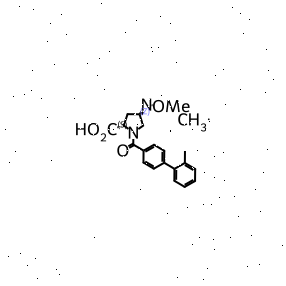 CO/N=C1/C[C@@H](C(=O)O)N(C(=O)c2ccc(-c3ccccc3C)cc2)C1.[CH3]